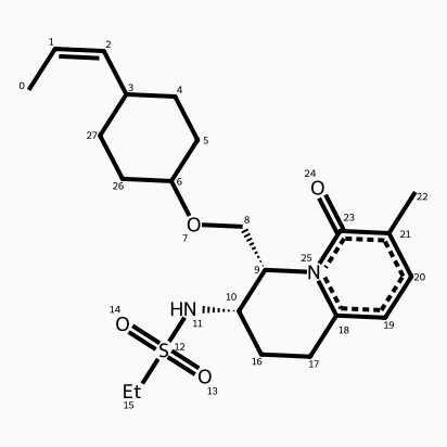 C/C=C\C1CCC(OC[C@H]2[C@@H](NS(=O)(=O)CC)CCc3ccc(C)c(=O)n32)CC1